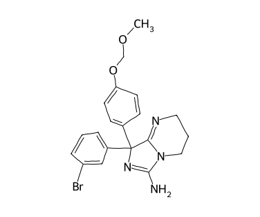 COCOc1ccc(C2(c3cccc(Br)c3)N=C(N)N3CCCN=C32)cc1